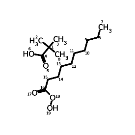 CC(C)(C)C(=O)O.CCCCCCCCCC(=O)OO